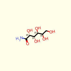 NC(=O)[C@H](O)[C@@H](O)[C@@H](O)[C@H](O)CO